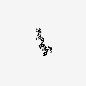 Cc1ccc(-n2nc(N3C(=O)CCC3=O)cc2NC(=O)Nc2ccc(OCc3ccnc(Nc4cnc(CNC(=O)OC(C)(C)C)cn4)c3)c3ccccc23)cc1